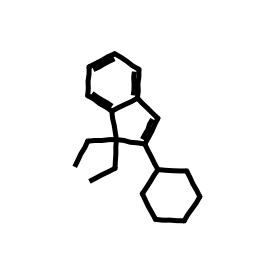 CCC1(CC)C(C2CCCCC2)=Cc2ccccc21